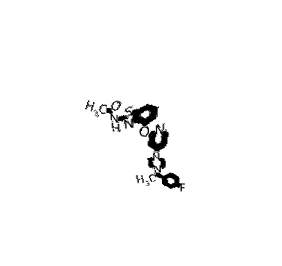 CC(=O)Nc1nc2c(Oc3cc(N4CCN([C@@H](C)C5=CCC(F)C=C5)CC4)ccn3)cccc2s1